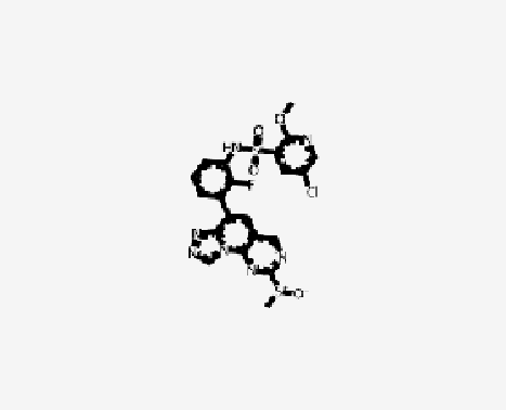 COc1ncc(Cl)cc1S(=O)(=O)Nc1cccc(-c2cc3cnc([S+](C)[O-])nc3n3cnnc23)c1F